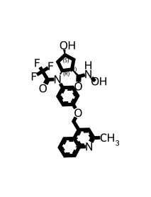 Cc1cc(COc2ccc(N(C(=O)C(F)(F)F)[C@@H]3C[C@@H](O)C[C@H]3C(=O)NO)cc2)c2ccccc2n1